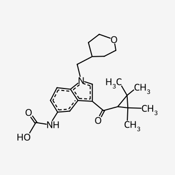 CC1(C)C(C(=O)c2cn(CC3CCOCC3)c3ccc(NC(=O)O)cc23)C1(C)C